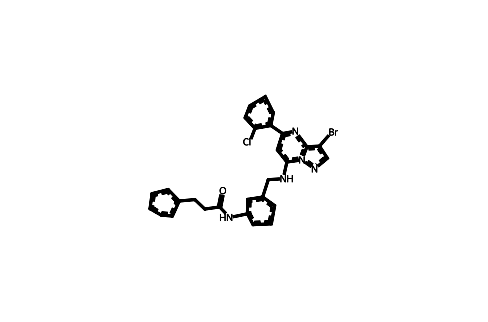 O=C(CCc1ccccc1)Nc1cccc(CNc2cc(-c3ccccc3Cl)nc3c(Br)cnn23)c1